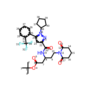 CC(C)(C)OC(=O)CC(CCN1C(=O)CCCC1=O)NC(=O)c1cc(-c2ccccc2C(F)(F)F)n(C2CCCC2)n1